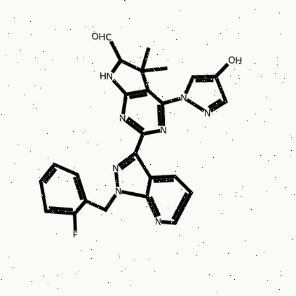 CC1(C)c2c(nc(-c3nn(Cc4ccccc4F)c4ncccc34)nc2-n2cc(O)cn2)NC1C=O